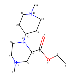 CCOC(=O)C1CN(C)CCN1C1CCN(C)CC1